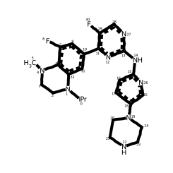 CC(C)N1CCN(C)c2c(F)cc(-c3nc(Nc4ccc(N5CCNCC5)cn4)ncc3F)cc21